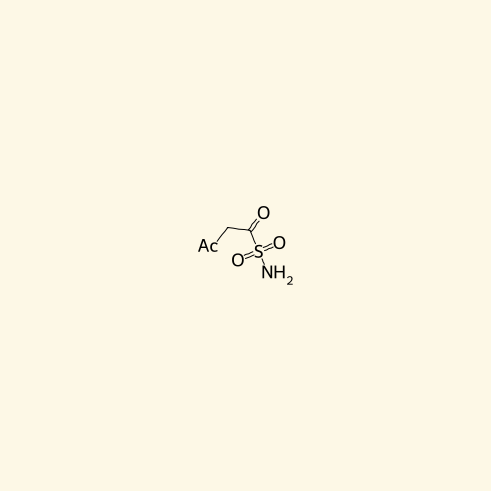 CC(=O)CC(=O)S(N)(=O)=O